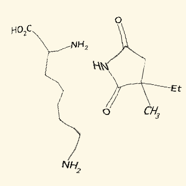 CCC1(C)CC(=O)NC1=O.NCCCCC(N)C(=O)O